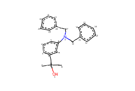 CC(C)(O)c1cccc(N(Cc2ccccc2)Cc2ccccc2)c1